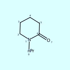 CCCN1CCC[CH]C1=O